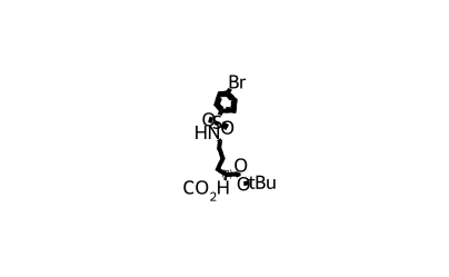 CC(C)(C)OC(=O)[C@H](CCCCNS(=O)(=O)c1ccc(Br)cc1)C(=O)O